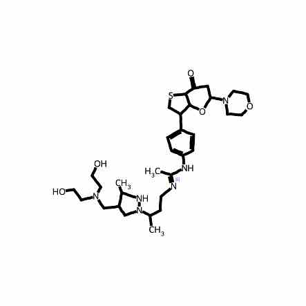 C/C(=N\CCC(C)N1CC(CN(CCO)CCO)C(C)N1)Nc1ccc(C2CSC3C(=O)CC(N4CCOCC4)OC32)cc1